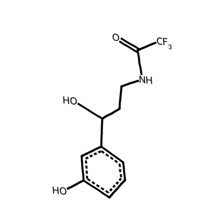 O=C(NCCC(O)c1cccc(O)c1)C(F)(F)F